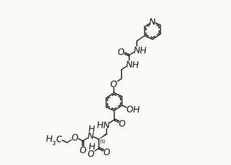 CCOC(=O)N[C@@H](CNC(=O)c1ccc(OCCNC(=O)NCc2cccnc2)cc1O)C(=O)O